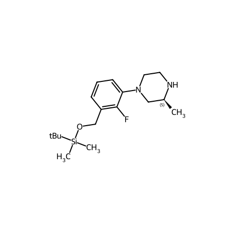 C[C@H]1CN(c2cccc(CO[Si](C)(C)C(C)(C)C)c2F)CCN1